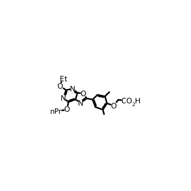 CCCOc1nc(OCC)nc2oc(-c3cc(C)c(OCC(=O)O)c(C)c3)nc12